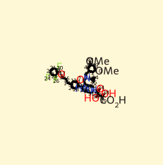 COc1cc(CN(C(=O)C2=C(c3ccc(CCCOc4c(F)ccc(F)c4F)cc3)CC3CN(C(=O)C(O)C(O)C(=O)O)CC2N3)C2CC2)cc(OC)c1